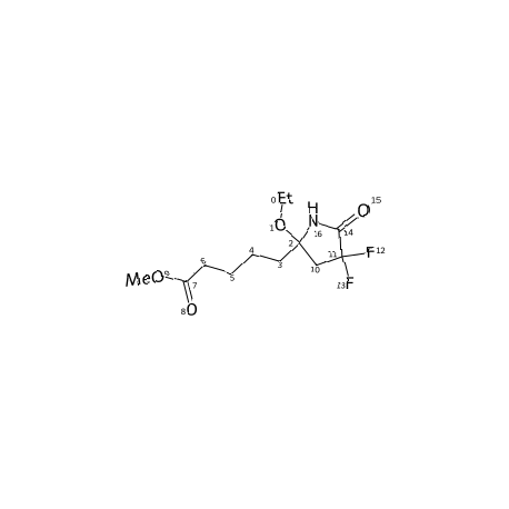 CCOC1(CCCCC(=O)OC)CC(F)(F)C(=O)N1